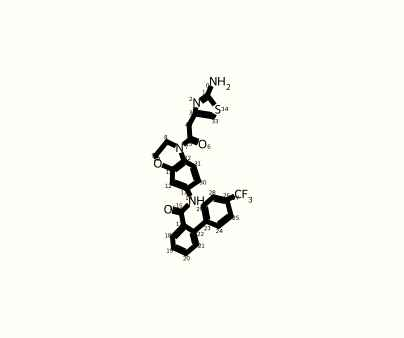 Nc1nc(CC(=O)N2CCOc3cc(NC(=O)c4ccccc4-c4ccc(C(F)(F)F)cc4)ccc32)cs1